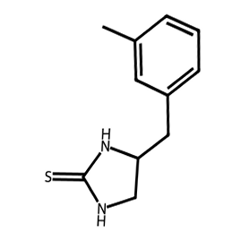 Cc1cccc(CC2CNC(=S)N2)c1